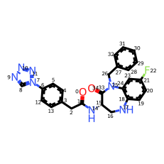 O=C(Cc1ccc(-n2cnnn2)cc1)N[C@H]1CNc2ccc(F)cc2N(Cc2ccccc2)C1=O